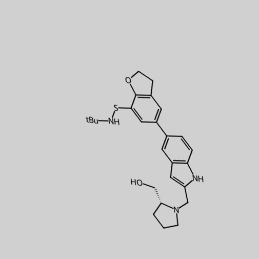 CC(C)(C)NSc1cc(-c2ccc3[nH]c(CN4CCC[C@@H]4CO)cc3c2)cc2c1OCC2